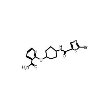 NC(=O)c1cccnc1OC1CCC(NC(=O)c2cnc(Br)s2)CC1